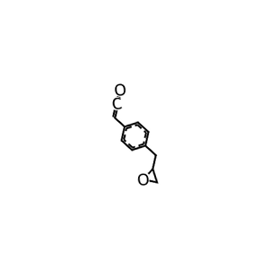 O=C=Cc1ccc(CC2CO2)cc1